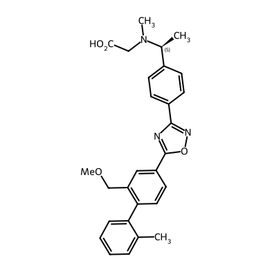 COCc1cc(-c2nc(-c3ccc([C@H](C)N(C)CC(=O)O)cc3)no2)ccc1-c1ccccc1C